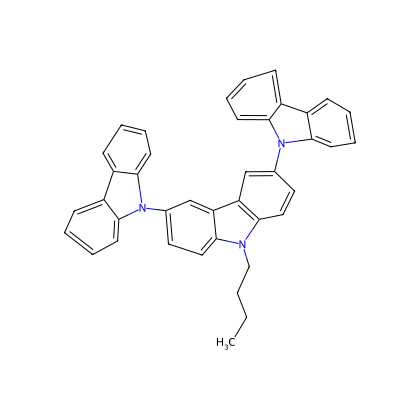 CCCCn1c2ccc(-n3c4ccccc4c4ccccc43)cc2c2cc(-n3c4ccccc4c4ccccc43)ccc21